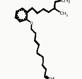 C=CCCCCCCCCOc1c[c]ccc1CCCCC(C)CC